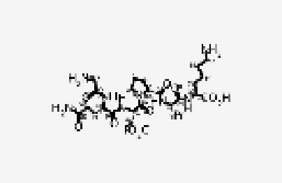 CC(C)[C@H](NC(=O)[C@@H]1CCCN1C(=O)[C@H](CC(=O)O)NC(=O)[C@H](CCC(N)=O)NC(=O)CN)C(=O)N[C@@H](CCCCN)C(=O)O